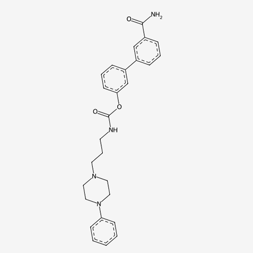 NC(=O)c1cccc(-c2cccc(OC(=O)NCCCN3CCN(c4ccccc4)CC3)c2)c1